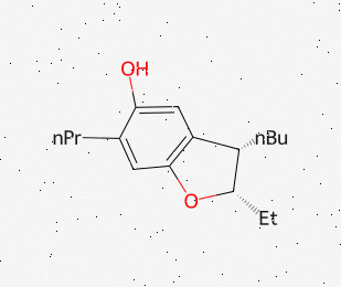 CCCC[C@H]1c2cc(O)c(CCC)cc2O[C@H]1CC